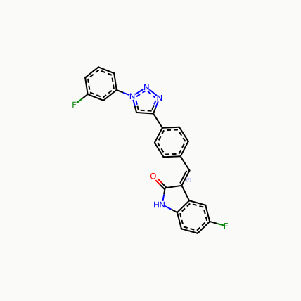 O=C1Nc2ccc(F)cc2/C1=C/c1ccc(-c2cn(-c3cccc(F)c3)nn2)cc1